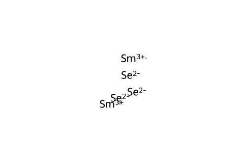 [Se-2].[Se-2].[Se-2].[Sm+3].[Sm+3]